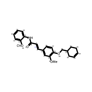 COc1cc(/C=C/C(=O)Nc2ccccc2C=O)ccc1OCC1CC=CCC1